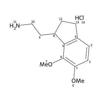 COc1ccc2c(c1OC)C(CCN)CC2.Cl